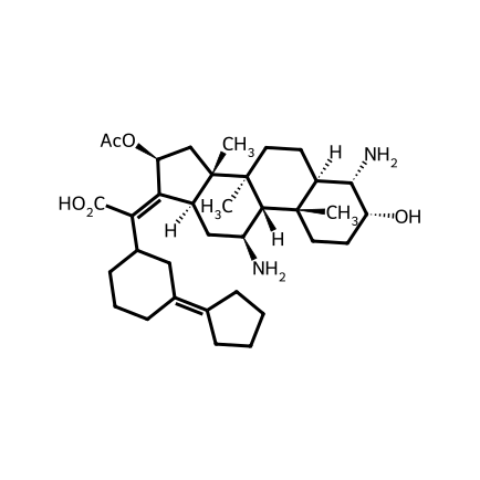 CC(=O)O[C@H]1C[C@@]2(C)[C@@H](C[C@H](N)[C@H]3[C@@]4(C)CC[C@@H](O)[C@@H](N)[C@@H]4CC[C@@]32C)/C1=C(/C(=O)O)C1CCCC(=C2CCCC2)C1